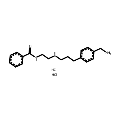 Cl.Cl.NCc1ccc(CCCNCCNC(=O)c2ccccc2)cc1